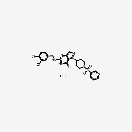 Cl.O=c1[nH]c(NCc2ccc(Cl)c(Cl)c2)nc2cnn(C3CCN(S(=O)(=O)c4cccnc4)CC3)c12